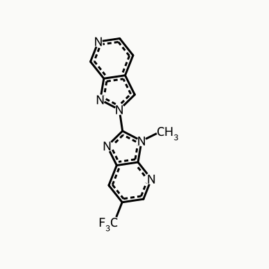 Cn1c(-n2cc3ccncc3n2)nc2cc(C(F)(F)F)cnc21